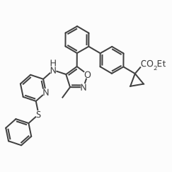 CCOC(=O)C1(c2ccc(-c3ccccc3-c3onc(C)c3Nc3cccc(Sc4ccccc4)n3)cc2)CC1